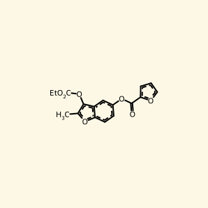 CCOC(=O)Oc1c(C)oc2ccc(OC(=O)c3ccco3)cc12